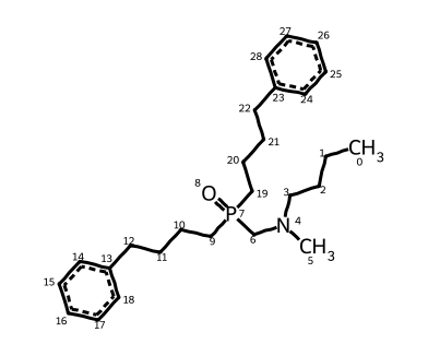 CCCCN(C)CP(=O)(CCCCc1ccccc1)CCCCc1ccccc1